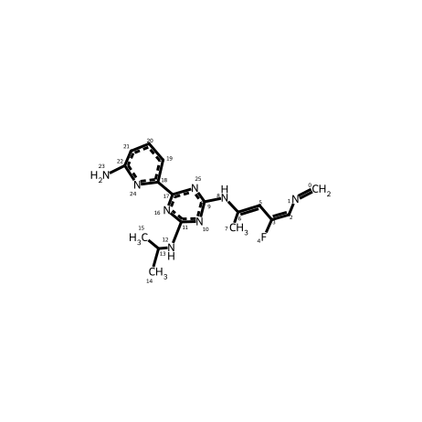 C=N/C=C(F)\C=C(/C)Nc1nc(NC(C)C)nc(-c2cccc(N)n2)n1